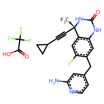 Nc1cc(Cc2cc3c(cc2F)[C@@](C#CC2CC2)(C(F)(F)F)NC(=O)N3)ccn1.O=C(O)C(F)(F)F